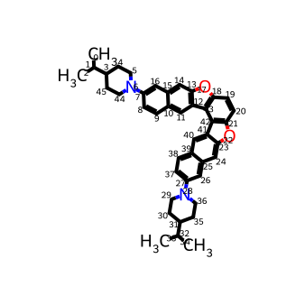 CC(C)C1CCN(c2ccc3cc4c(cc3c2)oc2ccc3oc5cc6cc(N7CCC(C(C)C)CC7)ccc6cc5c3c24)CC1